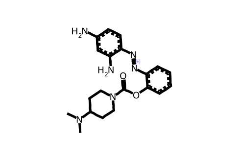 CN(C)C1CCN(C(=O)Oc2ccccc2/N=N/c2ccc(N)cc2N)CC1